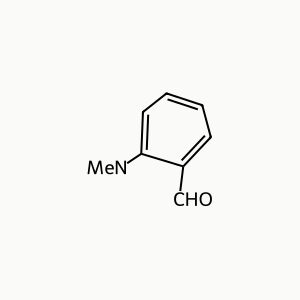 CNc1ccccc1C=O